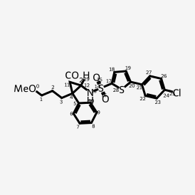 COCCCC1(c2ccccc2)CC1(NS(=O)(=O)c1ccc(-c2ccc(Cl)cc2)s1)C(=O)O